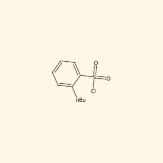 CCCCc1ccccc1S(=O)(=O)Cl